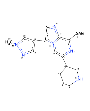 CSc1nc(C2CCCNC2)cn2c(-c3cnn(C)c3)cnc12